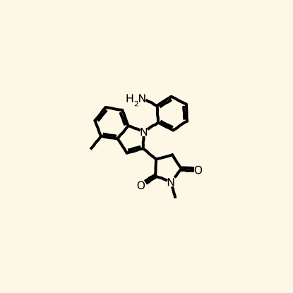 Cc1cccc2c1cc(C1CC(=O)N(C)C1=O)n2-c1ccccc1N